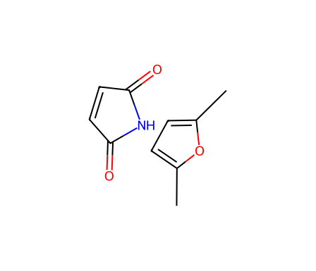 Cc1ccc(C)o1.O=C1C=CC(=O)N1